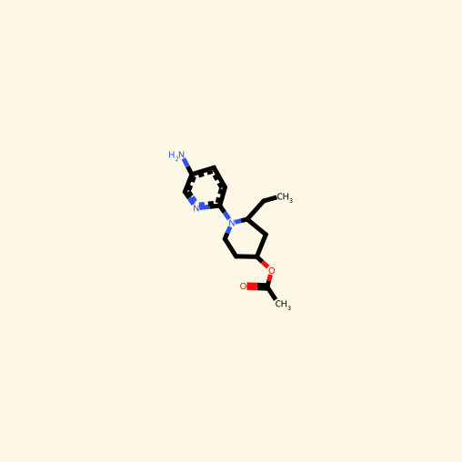 CCC1CC(OC(C)=O)CCN1c1ccc(N)cn1